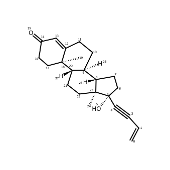 C=CC#C[C@]1(O)CC[C@H]2[C@@H]3CCC4=CC(=O)CC[C@]4(C)[C@H]3CC[C@@]21C